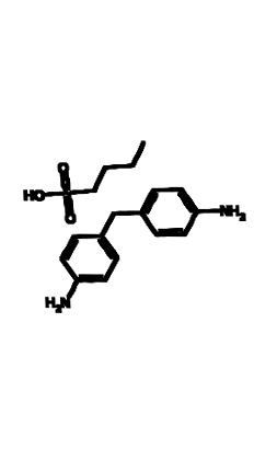 CCCCS(=O)(=O)O.Nc1ccc(Cc2ccc(N)cc2)cc1